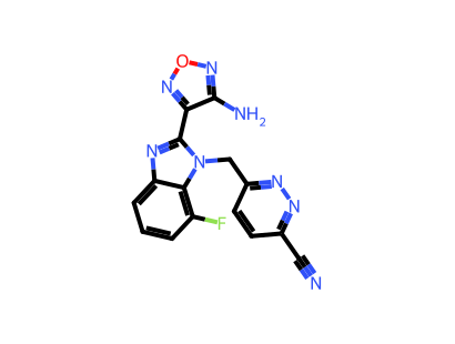 N#Cc1ccc(Cn2c(-c3nonc3N)nc3cccc(F)c32)nn1